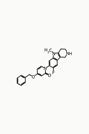 Cn1c2c(c3cc(F)c(-n4ccc(OCc5ccccc5)cc4=O)cc31)CNCC2